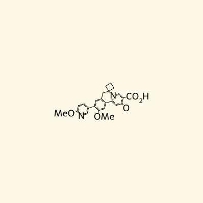 COc1ccc(-c2cc3c(cc2OC)-c2cc(=O)c(C(=O)O)cn2C2(CCC2)C3)cn1